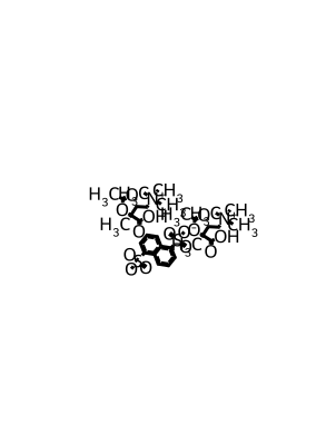 CC(=O)OC(C)(CC[N+](C)(C)C)C(=O)O.CC(=O)OC(C)(CC[N+](C)(C)C)C(=O)O.O=S(=O)([O-])c1cccc2c(S(=O)(=O)[O-])cccc12